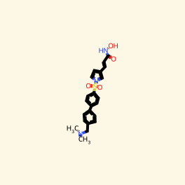 CN(C)Cc1ccc(-c2ccc(S(=O)(=O)n3ccc(/C=C/C(=O)NO)c3)cc2)cc1